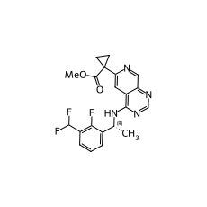 COC(=O)C1(c2cc3c(N[C@H](C)c4cccc(C(F)F)c4F)ncnc3cn2)CC1